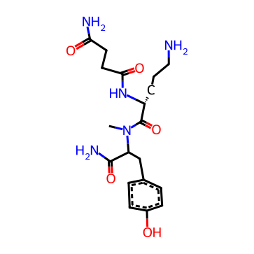 CN(C(=O)[C@@H](CCCN)NC(=O)CCC(N)=O)C(Cc1ccc(O)cc1)C(N)=O